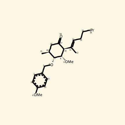 COc1ccc(CO[C@H]2[C@@H](OC)[C@H](/C(C)=C/CCC(C)C)C(=O)C[C@@H]2C)cc1